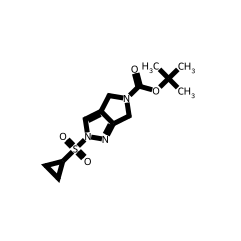 CC(C)(C)OC(=O)N1Cc2cn(S(=O)(=O)C3CC3)nc2C1